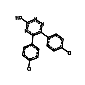 Oc1nnc(-c2ccc(Cl)cc2)c(-c2ccc(Cl)cc2)n1